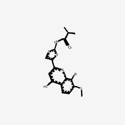 COc1ccc2c(S)cc(-c3csc(NC(=O)C(C)C)n3)nc2c1Br